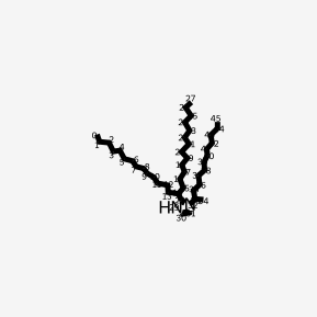 CCCCCCCCCCCCCCC(CCCCCCCCCCCCC)c1[nH]cc[n+]1C(C)CCCCCCCCCCC